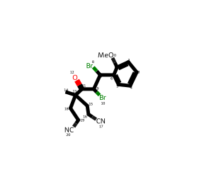 COc1ccccc1C(Br)C(Br)C(=O)C(C)(CCC#N)CCC#N